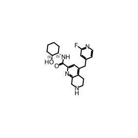 O=C(N[C@H]1CCCC[C@@H]1O)c1cc(Cc2ccnc(F)c2)c2c(n1)CNCC2